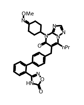 CCCc1c(Cc2ccc(-c3ccccc3-c3noc(=O)[nH]3)cc2)c(=O)n(C2CCC(=NOC)CC2)c2ncnn12